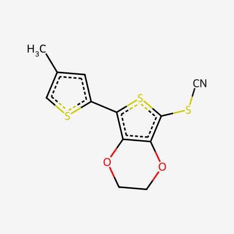 Cc1csc(-c2sc(SC#N)c3c2OCCO3)c1